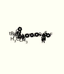 CC(NCN(Cc1ccccc1)C(=O)OC(C)(C)C)[C@H](C)n1ncn(-c2ccc(N3CCN(c4ccc(OC[C@@H]5CO[C@@](Cn6cncn6)(c6ccc(F)cc6F)O5)cc4)CC3)cc2)c1=O